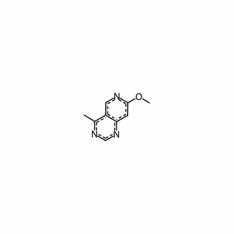 COc1cc2ncnc(C)c2cn1